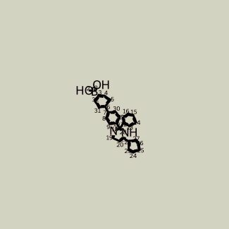 OB(O)c1ccc(-c2ccc(C3(c4ccccc4)N=CC=C(c4ccccc4)N3)cc2)cc1